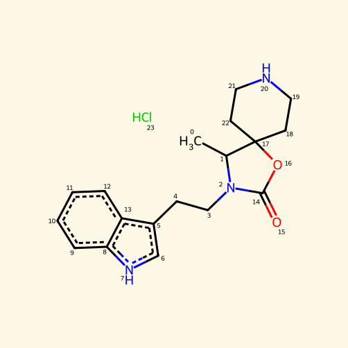 CC1N(CCc2c[nH]c3ccccc23)C(=O)OC12CCNCC2.Cl